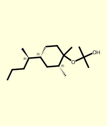 CCC[C@@H](C)[C@@H]1CCC(C)(OC(C)(C)O)[C@H](C)C1